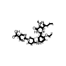 CCCc1nn(C)c2c(=O)[nH]c(-c3cc(NC4CCN(c5ncc(C(=O)O)cn5)CC4)ccc3OCC)nc12